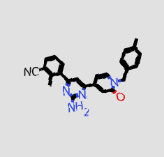 Cc1ccc(Cn2ccc(-c3cc(-c4cccc(C#N)c4C)nc(N)n3)cc2=O)cc1